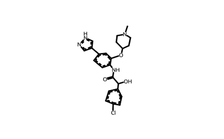 CN1CCC(Oc2cc(-c3cn[nH]c3)ccc2NC(=O)C(O)c2ccc(Cl)cc2)CC1